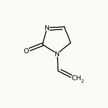 C=CN1CC=NC1=O